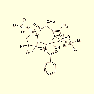 CC[Si](CC)(CC)O[C@H]1C[C@@]2(O)[C@@H](OC(=O)c3ccccc3)C3[C@](C)(C(=O)[C@H](OC)C(=C1C)C2(C)C)[C@@H](O[Si](CC)(CC)CC)C[C@H]1OC[C@@]31OC(C)=O